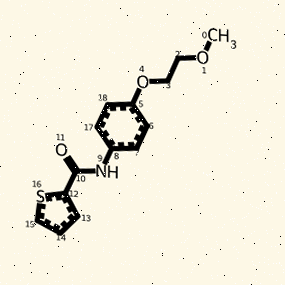 COCCOc1ccc(NC(=O)c2cccs2)cc1